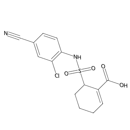 N#Cc1ccc(NS(=O)(=O)C2CCCC=C2C(=O)O)c(Cl)c1